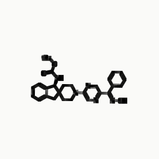 CC(C)(C)OC(=O)N[C@@H]1c2ccccc2CC12CCN(c1cnc(/C(=N/O)c3ccccc3)cn1)CC2